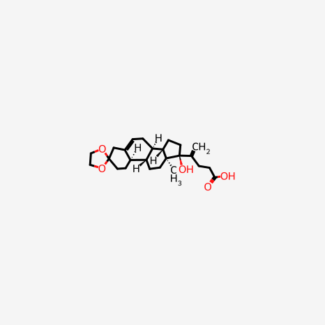 C=C(CCC(=O)O)[C@@]1(O)CC[C@H]2[C@@H]3CC=C4CC5(CC[C@@H]4[C@H]3CC[C@@]21C)OCCO5